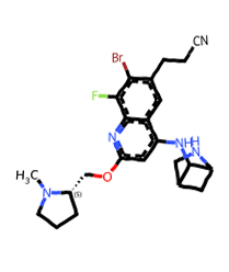 CN1CCC[C@H]1COc1cc(NC2C3CNC2C3)c2cc(CCC#N)c(Br)c(F)c2n1